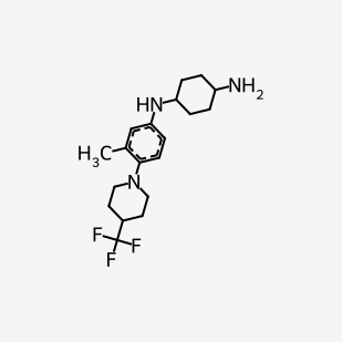 Cc1cc(NC2CCC(N)CC2)ccc1N1CCC(C(F)(F)F)CC1